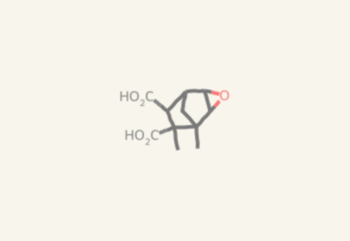 CC12CC(C3OC31)C(C(=O)O)C2(C)C(=O)O